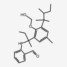 CCC(C)C(C)(C)c1cc(C)cc(C(C)(CC)Pc2ccccc2C=O)c1OCO